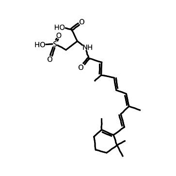 CC1=C(/C=C/C(C)=C\C=C\C(C)=C\C(=O)NC(CS(=O)(=O)O)C(=O)O)C(C)(C)CCC1